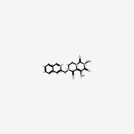 CC(C)n1c(=O)c(O)c2n(c1=O)CCN(Cc1cc3ccccc3cn1)C2=O